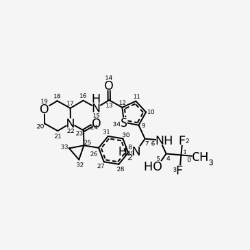 CC(F)(F)C(O)NC(N)c1ccc(C(=O)NCC2COCCN2C(=O)C2(c3ccccc3)CC2)s1